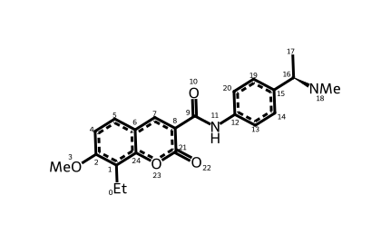 CCc1c(OC)ccc2cc(C(=O)Nc3ccc([C@@H](C)NC)cc3)c(=O)oc12